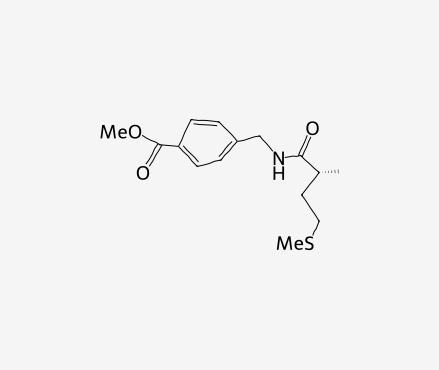 COC(=O)c1ccc(CNC(=O)[C@H](C)CCSC)cc1